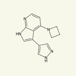 c1cc(N2CCC2)c2c(-c3cn[nH]c3)c[nH]c2n1